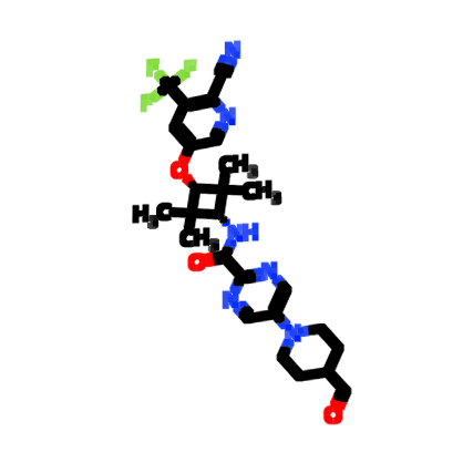 CC1(C)[C@H](NC(=O)c2ncc(N3CCC(C=O)CC3)cn2)C(C)(C)[C@H]1Oc1cnc(C#N)c(C(F)(F)F)c1